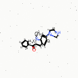 CN(C)c1cc(N2CCNCC2)ccc1C=CC(=O)c1ccccc1